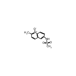 Cc1ccc2cc(NS(C)(=O)=O)ccc2[n+]1[O-]